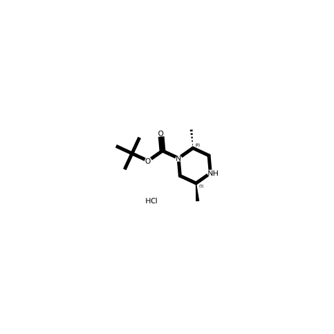 C[C@@H]1CN[C@@H](C)CN1C(=O)OC(C)(C)C.Cl